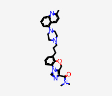 Cc1ccc2c(N3CCN(CCCc4cccc5c4OCc4c(C(=O)N(C)C)ncn4-5)CC3)cccc2n1